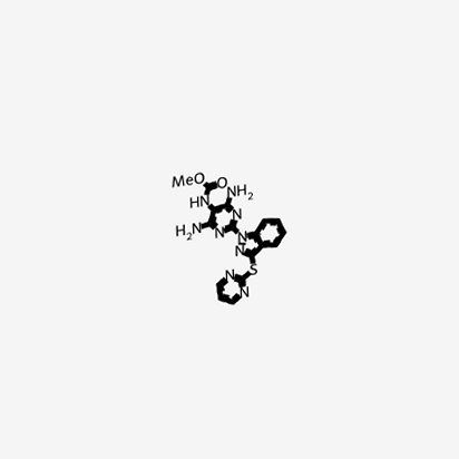 COC(=O)Nc1c(N)nc(-n2nc(Sc3ncccn3)c3ccccc32)nc1N